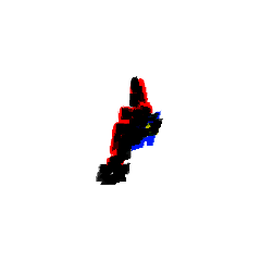 COCOC(=O)C1=NCSC2C(NC(=O)COc3ccccc3)C(=O)N12